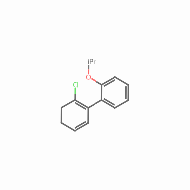 CC(C)Oc1ccccc1C1=C(Cl)CCC=C1